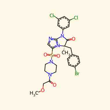 COCC(=O)N1CCN(S(=O)(=O)c2cnc3n2[C@](C)(Cc2ccc(Br)cc2)C(=O)N3c2cc(Cl)cc(Cl)c2)CC1